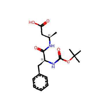 C[C@H](CC(=O)O)NC(=O)[C@H](Cc1ccccc1)NC(=O)OC(C)(C)C